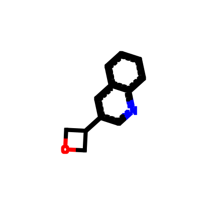 c1ccc2ncc(C3COC3)cc2c1